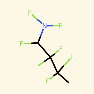 CC(F)(F)C(F)(F)C(F)N(F)F